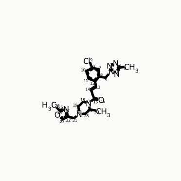 Cc1nnn(Cc2cc(Cl)ccc2C=CC(=O)N2CCN(Cc3coc(C)n3)CC2C)n1